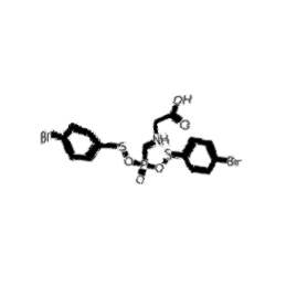 O=C(O)CNCP(=O)(OSc1ccc(Br)cc1)OSc1ccc(Br)cc1